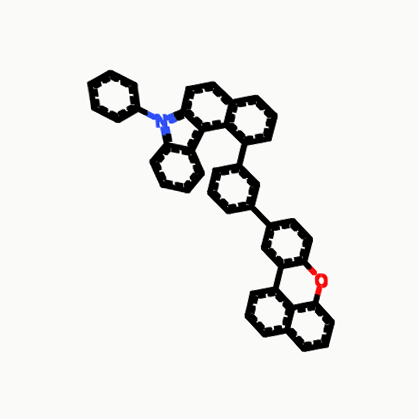 c1ccc(-n2c3ccccc3c3c4c(-c5cccc(-c6ccc7c(c6)-c6cccc8cccc(c68)O7)c5)cccc4ccc32)cc1